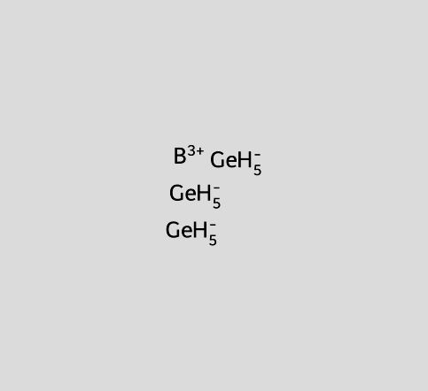 [B+3].[GeH5-].[GeH5-].[GeH5-]